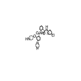 CN1CCN(c2ccc(C(=O)Nc3ccccc3C(=O)Nc3ccc(Cl)cn3)c(OC3CCNCC3)c2)CC1